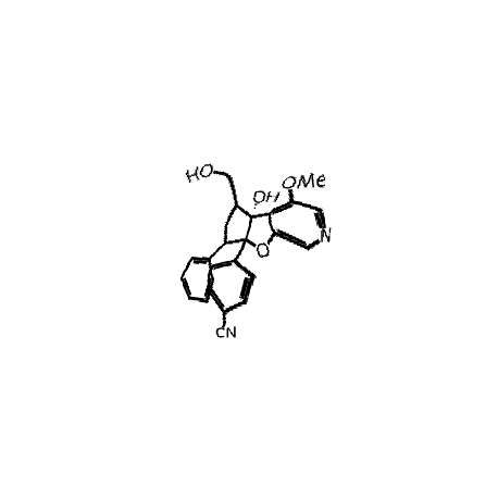 COc1cncc2c1[C@]1(O)C(CO)CC(c3ccccc3)C1(c1ccc(C#N)cc1)O2